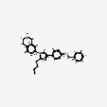 CCCCc1nc(-c2ccc(OCc3ccccc3)cc2)cn1-c1ccc2c(c1)CNCC2